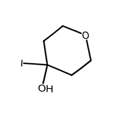 OC1(I)CCOCC1